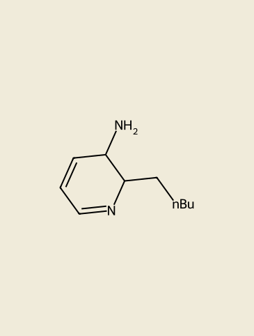 CCCCCC1N=CC=CC1N